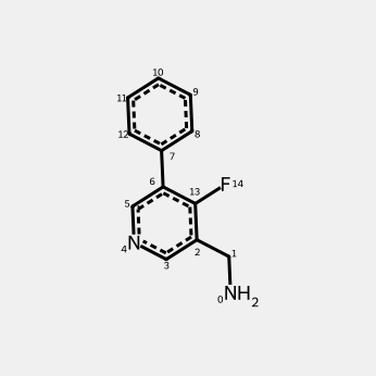 NCc1cn[c]c(-c2ccccc2)c1F